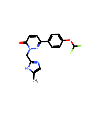 Cc1cnc(Cn2nc(-c3ccc(OC(F)F)cc3)ccc2=O)[nH]1